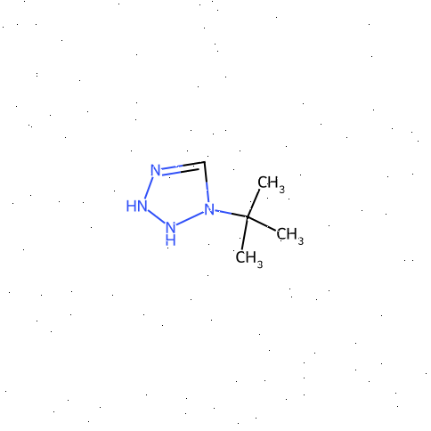 CC(C)(C)N1C=NNN1